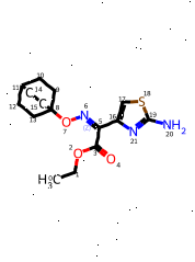 CCOC(=O)/C(=N\OC12CCC(CC1)CC2)c1csc(N)n1